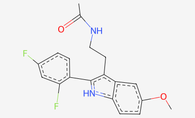 COc1ccc2[nH]c(-c3ccc(F)cc3F)c(CCNC(C)=O)c2c1